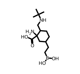 CC(C)(C)NCC1CCC(CCB(O)O)CC1(N)C(=O)O